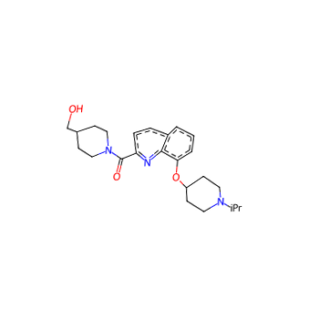 CC(C)N1CCC(Oc2cccc3ccc(C(=O)N4CCC(CO)CC4)nc23)CC1